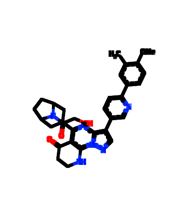 COc1ccc(-c2ccc(-c3cnn4c5c(c(C6CC7CCC(C6)N7C(=O)CO)nc34)C(=O)CCN5)cn2)cc1C